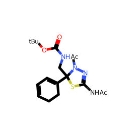 CC(=O)NC1=NN(C(C)=O)C(CNC(=O)OC(C)(C)C)(C2=CC=CCC2)S1